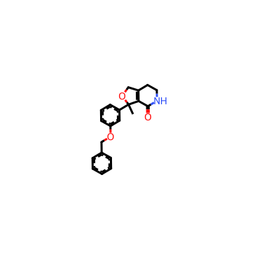 CC1(c2cccc(OCc3ccccc3)c2)OCC2=C1C(=O)NCC2